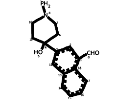 O=Cc1cc(C2(O)CCN(P)CC2)cc2ccccc12